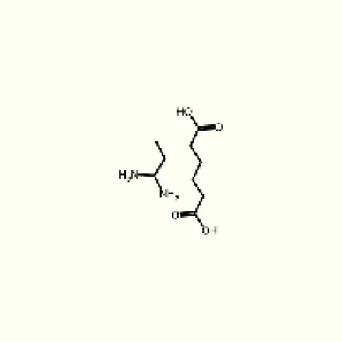 CCC(N)N.O=C(O)CCCCC(=O)O